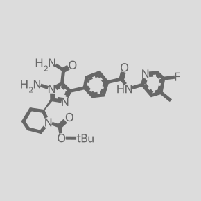 Cc1cc(NC(=O)c2ccc(-c3nc([C@@H]4CCCCN4C(=O)OC(C)(C)C)n(N)c3C(N)=O)cc2)ncc1F